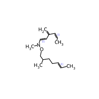 C=C(/C=C\C)/C=C/N(C)OCC(C)CC/C=C/C